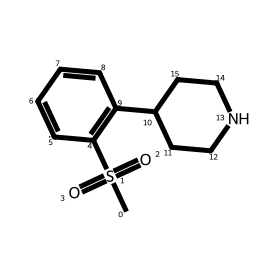 CS(=O)(=O)c1[c]cccc1C1CCNCC1